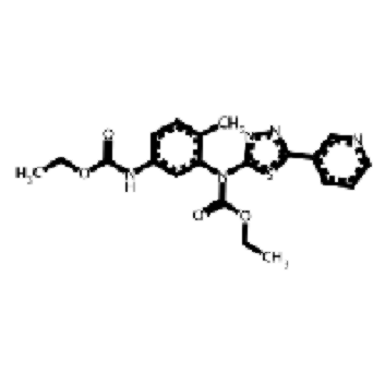 CCOC(=O)Nc1ccc(C)c(N(C(=O)OCC)c2nnc(-c3cccnc3)s2)c1